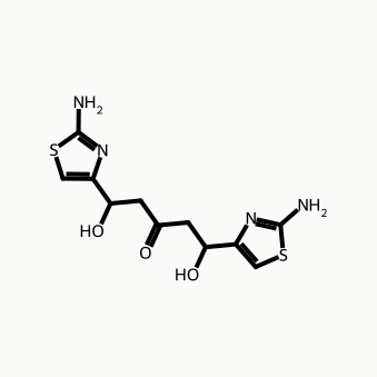 Nc1nc(C(O)CC(=O)CC(O)c2csc(N)n2)cs1